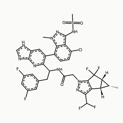 C[C@@H]1[C@@H]2c3c(C(F)F)nn(CC(=O)NC(Cc4cc(F)cc(F)c4)c4nc5nc[nH]c5cc4-c4ccc(Cl)c5c(NS(C)(=O)=O)nn(C)c45)c3C(F)(F)[C@H]12